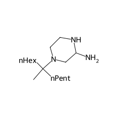 CCCCCCC(C)(CCCCC)N1CCNC(N)C1